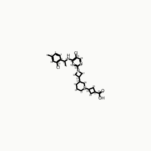 Cc1ccc(C(C)Nc2nc(N3CC(C4CCCN(C5CC(C(=O)O)C5)C4)C3)ncc2Cl)c(Cl)c1